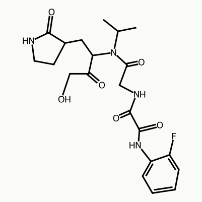 CC(C)N(C(=O)CNC(=O)C(=O)Nc1ccccc1F)C(CC1CCNC1=O)C(=O)CO